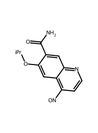 CC(C)Oc1cc2c(N=O)ccnc2cc1C(N)=O